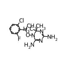 CC(ON1C(N)=NC(N)=NC1(C)C)c1c(F)cccc1Cl